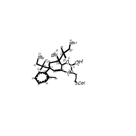 CCCCCCCCCCCCOP(O)OC1C(C(C)(C)C)=CC(c2ccccc2C)(C(C)(C)CC(C)(C)C)CC1(C(C)(C)C)C(C)(C)CC(C)(C)C